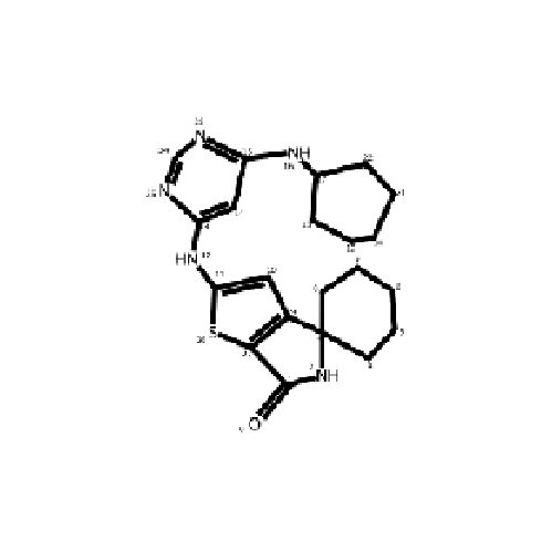 O=C1NC2(CCCCC2)c2cc(Nc3cc(NC4CCCCC4)ncn3)sc21